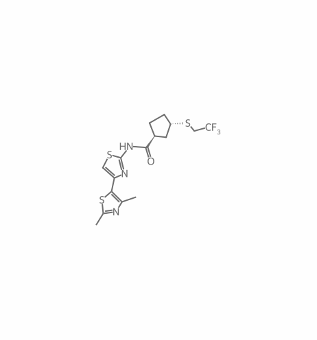 Cc1nc(C)c(-c2csc(NC(=O)[C@H]3CC[C@H](SCC(F)(F)F)C3)n2)s1